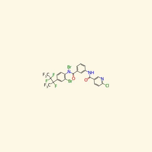 O=C(Nc1cccc(C(=O)N(Br)c2ccc(C(F)(C(F)(F)F)C(F)(F)C(F)(F)F)cc2Br)c1)c1ccc(Cl)nc1